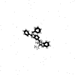 C[C@H](NC(=O)c1ccc2c(c1)nc(-c1ccccc1)n2Cc1ccccc1)c1nc2ccccc2[nH]1